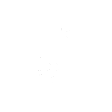 CC(C)Oc1c(OC(C)C)c(OC(=O)C(C)(C)C)c2ccc(Cl)cc2c1OCCCCCCc1ccccc1F